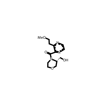 COCCc1nccnc1C(=O)N1CCOC[C@H]1CO